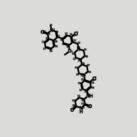 COc1cc(-c2cn(C)c(=O)c3ccccc23)cc(Cl)c1CN1CCC(C2CCN(c3ccc(NC4CCC(=O)NC4=O)cc3Cl)CC2)CC1